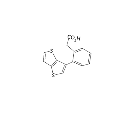 O=C(O)Cc1ccccc1-c1csc2ccsc12